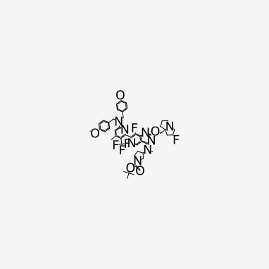 COc1ccc(CN(Cc2ccc(OC)cc2)c2cc(C)c(C(F)(F)F)c(-c3ncc4c(N(C)[C@@H]5CCN(C(=O)OC(C)(C)C)C5)nc(OC[C@@]56CCCN5C[C@H](F)C6)nc4c3F)n2)cc1